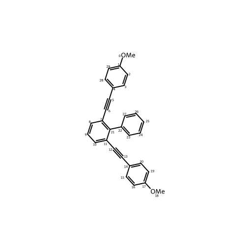 COc1ccc(C#Cc2cccc(C#Cc3ccc(OC)cc3)c2-c2ccccc2)cc1